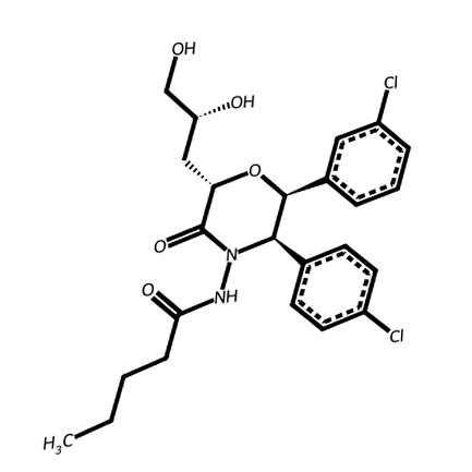 CCCCC(=O)NN1C(=O)[C@H](C[C@@H](O)CO)O[C@@H](c2cccc(Cl)c2)[C@H]1c1ccc(Cl)cc1